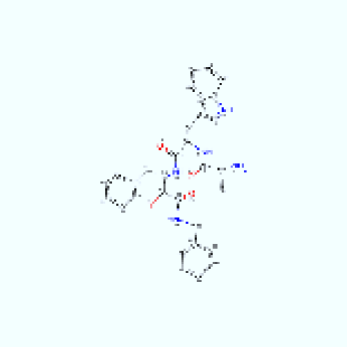 C[C@H](N)C(=O)N[C@@H](Cc1c[nH]c2ccccc12)C(=O)N[C@@H](Cc1ccccc1)C(O)C(=O)NCc1ccccc1